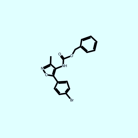 Cc1noc(-c2ccc(Br)cc2)c1NC(=O)OCc1ccccc1